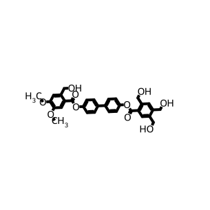 COc1cc(CO)c(C(=O)Oc2ccc(-c3ccc(OC(=O)c4cc(CO)c(CO)cc4CO)cc3)cc2)cc1OC